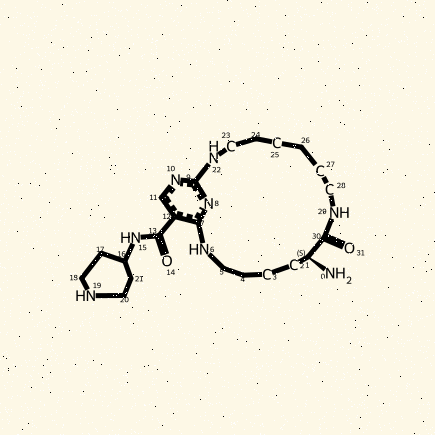 N[C@H]1CCCCNc2nc(ncc2C(=O)NC2CCNCC2)NCCCCCCNC1=O